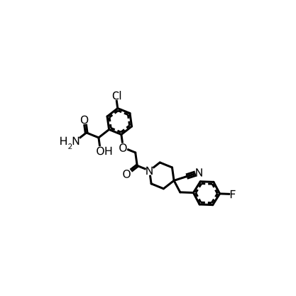 N#CC1(Cc2ccc(F)cc2)CCN(C(=O)COc2ccc(Cl)cc2C(O)C(N)=O)CC1